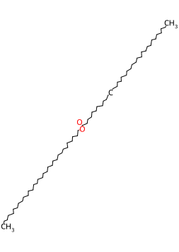 CCCCCCCCCCCCCCCCCCCCCCCCCCCCCCCCCCC(=O)OCCCCCCCCCCCCCCCCCCCCCCCCCCCCCCCC